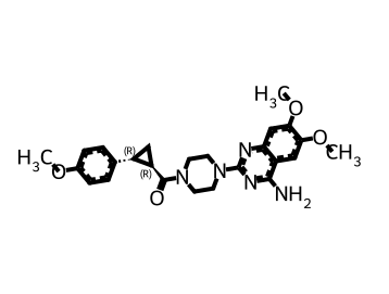 COc1ccc([C@@H]2C[C@H]2C(=O)N2CCN(c3nc(N)c4cc(OC)c(OC)cc4n3)CC2)cc1